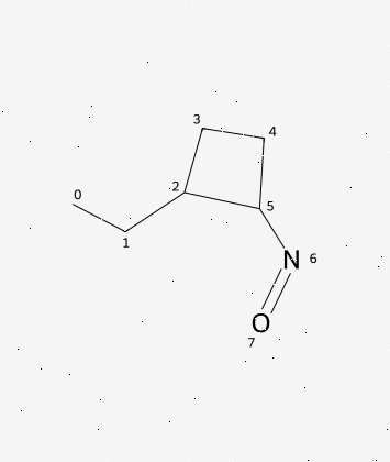 CCC1CCC1N=O